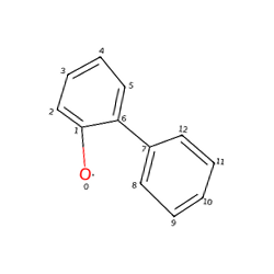 [O]c1ccccc1-c1ccccc1